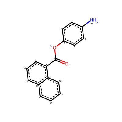 Nc1ccc(OC(=O)c2cccc3ccccc23)cc1